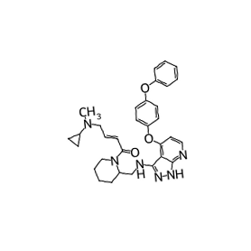 CN(C/C=C/C(=O)N1CCCCC1CNc1n[nH]c2nccc(Oc3ccc(Oc4ccccc4)cc3)c12)C1CC1